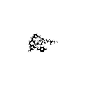 CC(C)OC(=O)OCOP(=O)(COC[C@@H]1CCC(CC2C=Nc3c(nc(Cl)nc3NCc3ccc(F)cc3)CC2)O1)OCOC(=O)OC(C)C